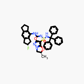 C[C@@H]1Cn2ncc(S(=O)(=NC(=O)Nc3c4c(cc5c3C[C@H](F)C5)CCC4)NC(c3ccccc3)(c3ccccc3)c3ccccc3)c2O1